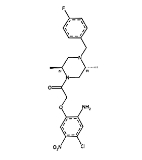 C[C@@H]1CN(C(=O)COc2cc([N+](=O)[O-])c(Cl)cc2N)[C@@H](C)CN1Cc1ccc(F)cc1